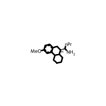 CCCC(N)[C@@H]1Cc2ccc(O[13CH3])cc2C2CCCCC21